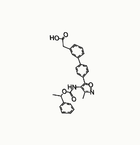 Cc1noc(-c2ccc(-c3cccc(CC(=O)O)c3)cc2)c1NC(=O)OC(C)c1ccccc1